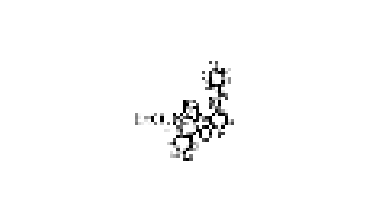 CCOC(=O)c1cn(-c2c(OCc3ccccc3)cccc2OCc2ccccc2)cn1